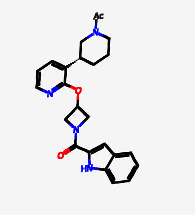 CC(=O)N1CCC[C@H](c2cccnc2OC2CN(C(=O)c3cc4ccccc4[nH]3)C2)C1